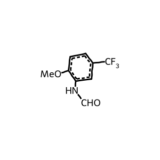 COc1ccc(C(F)(F)F)cc1NC=O